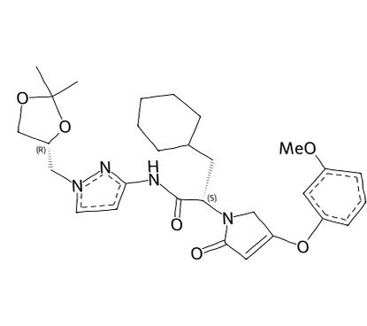 COc1cccc(OC2=CC(=O)N([C@@H](CC3CCCCC3)C(=O)Nc3ccn(C[C@@H]4COC(C)(C)O4)n3)C2)c1